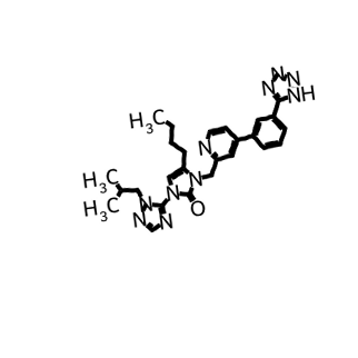 CCCCc1cn(-c2ncnn2CC(C)C)c(=O)n1Cc1cc(-c2cccc(-c3nnn[nH]3)c2)ccn1